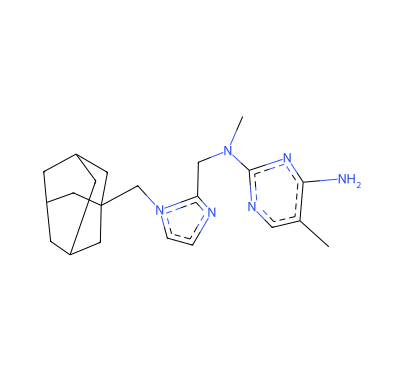 Cc1cnc(N(C)Cc2nccn2CC23CC4CC(CC(C4)C2)C3)nc1N